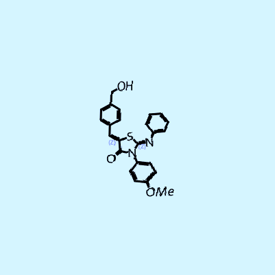 COc1ccc(N2C(=O)/C(=C/c3ccc(CO)cc3)S/C2=N\c2ccccc2)cc1